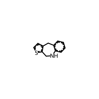 c1ccc2c(c1)Cc1ccsc1CN2